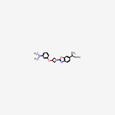 CC(=O)NC(C)c1ccc2nc(N3CC(Oc4cccc(N(C)C)c4)C3)oc2c1